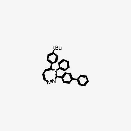 CC(C)(C)c1ccc(C2=CC=CN=NC(c3ccc(-c4ccccc4)cc3)N2c2ccccc2)cc1